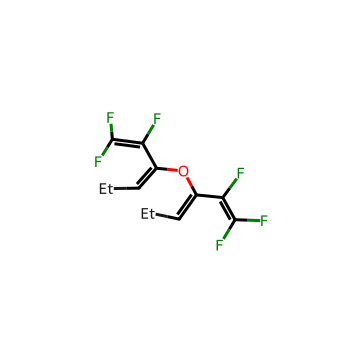 CCC=C(OC(=CCC)C(F)=C(F)F)C(F)=C(F)F